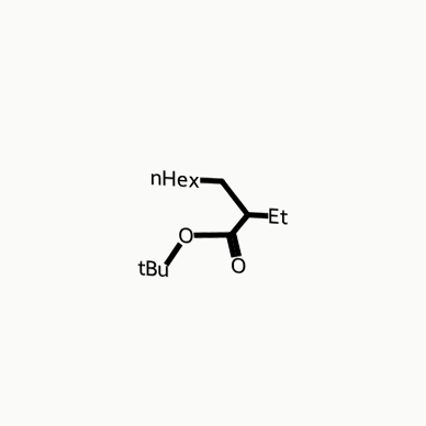 [CH2]CCCCCCC(CC)C(=O)OC(C)(C)C